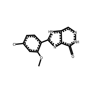 COc1cc(Cl)ccc1-c1nc2c(=O)[nH]ncc2[nH]1